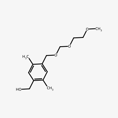 COCCOCOCc1cc(C)c(CO)cc1C